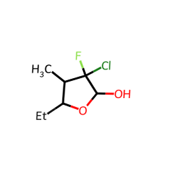 CCC1OC(O)C(F)(Cl)C1C